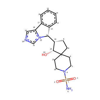 NS(=O)(=O)N1CCC2(CC[C@@H]([C@H]3c4ccccc4-c4cncn43)[C@H]2O)CC1